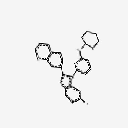 Oc1ccc2nc(-c3ccc4ccccc4c3)n(-c3ccnc(NC4CCCCC4)n3)c2c1